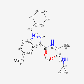 COc1ccc2c(c1)c(C(=O)NC(C(=O)NC1CC1)C(C)(C)C)nn2CC1CCCCC1